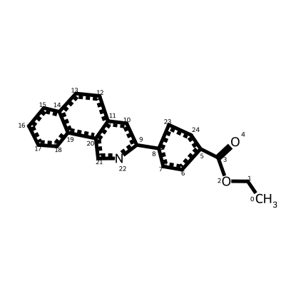 CCOC(=O)c1ccc(-c2cc3ccc4ccccc4c3cn2)cc1